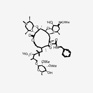 CON=C1C[C@@H](C)O[C@@H](O[C@@H]2[C@@H](C)[C@H](O[C@H]3C[C@H](C)N(C)C[C@H](C)O3)[C@@H](C)C(=O)OCCC(CC(C)(C)[C@H](C(=O)O)C(C)CO[C@@H]3O[C@H](C)[C@@H](O)[C@@H](OC)[C@H]3OC)[C@@H](C)C(=O)[C@@](C)(OC(=O)NCc3ccccc3)C[C@@H]2C)[C@@H]1O